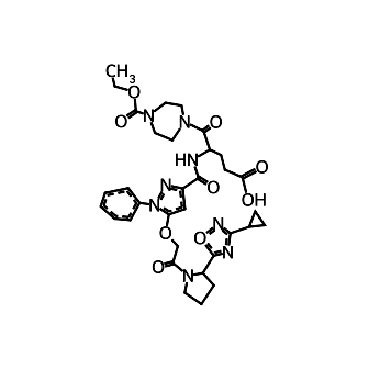 CCOC(=O)N1CCN(C(=O)C(CCC(=O)O)NC(=O)c2cc(OCC(=O)N3CCCC3c3nc(C4CC4)no3)n(-c3ccccc3)n2)CC1